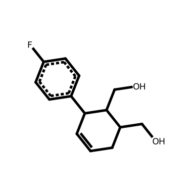 OCC1CC=CC(c2ccc(F)cc2)C1CO